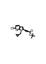 CC(C)(C)OC(=O)C#Cc1cc2ccc(Cl)nc2n1CC1CC1